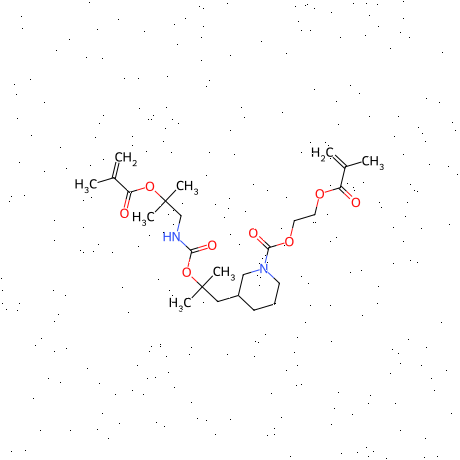 C=C(C)C(=O)OCCOC(=O)N1CCCC(CC(C)(C)OC(=O)NCC(C)(C)OC(=O)C(=C)C)C1